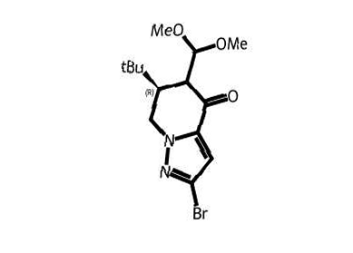 COC(OC)C1C(=O)c2cc(Br)nn2C[C@H]1C(C)(C)C